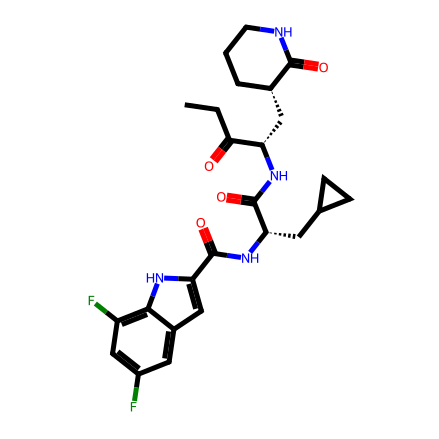 CCC(=O)[C@H](C[C@@H]1CCCNC1=O)NC(=O)[C@H](CC1CC1)NC(=O)c1cc2cc(F)cc(F)c2[nH]1